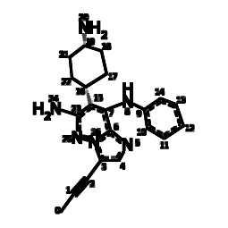 CC#Cc1cnc2c(Nc3ccccc3)c([C@H]3CC[C@@H](N)CC3)c(N)nn12